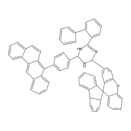 C1=CC2c3ccccc3C3(c4ccccc4Oc4ccc(C5N=C(c6ccccc6-c6ccccc6)NC(c6ccc(-c7c8ccccc8cc8c7ccc7ccccc78)cc6)N5)cc43)C2C=C1